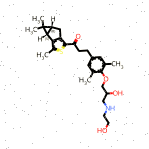 Cc1cc(CCC(=O)c2sc(C)c3c2C[C@@H]2[C@H]3C2(C)C)cc(C)c1OCC(O)CNCCO